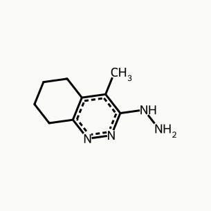 Cc1c(NN)nnc2c1CCCC2